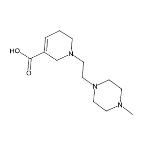 CN1CCN(CCN2CCC=C(C(=O)O)C2)CC1